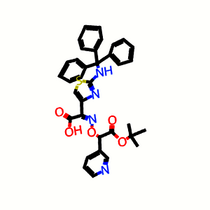 CC(C)(C)OC(=O)C(O/N=C(\C(=O)O)c1csc(NC(c2ccccc2)(c2ccccc2)c2ccccc2)n1)c1cccnc1